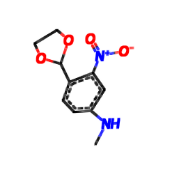 CNc1ccc(C2OCCO2)c([N+](=O)[O-])c1